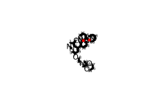 N#Cc1cnn2cc(OCCN3CC4(C3)OCCCO4)cc(-c3ccc(N4CC5CC(C4)N5Cc4cccnc4)nc3)c12